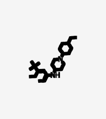 C/C=C(\C=C(/CC)C(C)(C)C)NC1CCN(C2CCC(CC)CC2)CC1